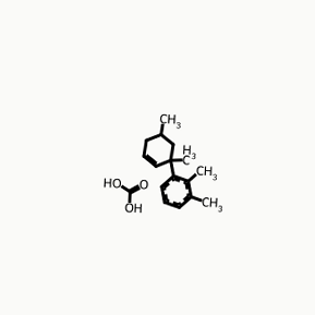 Cc1cccc(C2(C)C=CCC(C)C2)c1C.O=C(O)O